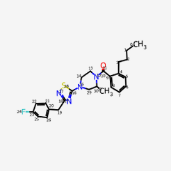 CCCCc1ccccc1C(=O)N1CCN(c2nc(Cc3ccc(F)cc3)ns2)CC1C